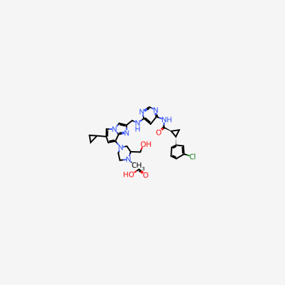 CN1CCN(c2cc(C3CC3)cn3cc(CNc4cc(NC(=O)[C@H]5C[C@@H]5c5cccc(Cl)c5)ncn4)nc23)CC1CO.O=CO